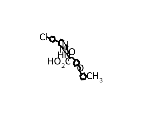 Cc1cccc(COc2ccc(C[C@H](NC(=O)c3cn4ccc(-c5ccc(Cl)cc5)cc4n3)C(=O)O)cc2)c1